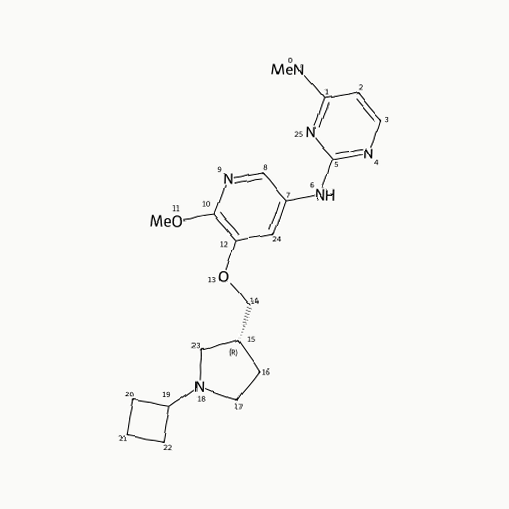 CNc1ccnc(Nc2cnc(OC)c(OC[C@@H]3CCN(C4CCC4)C3)c2)n1